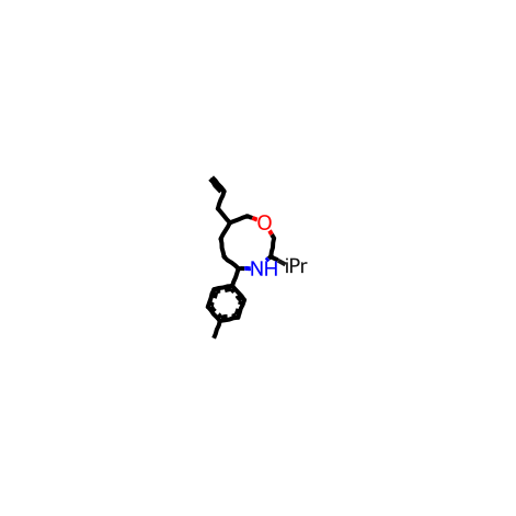 C=CCC1CCC(c2ccc(C)cc2)NC(C(C)C)COC1